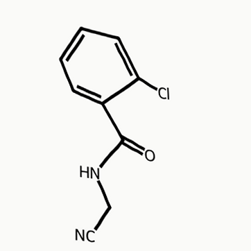 N#CCNC(=O)c1ccccc1Cl